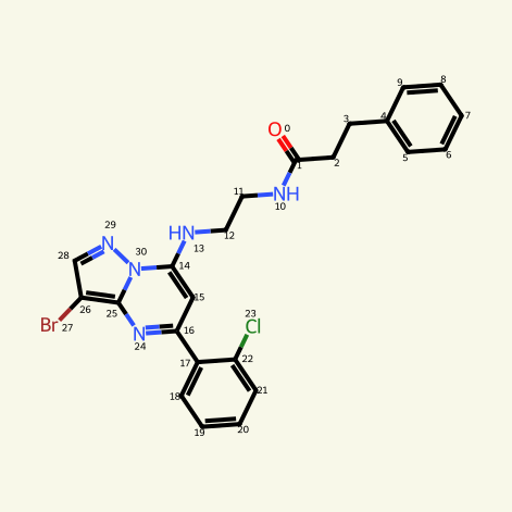 O=C(CCc1ccccc1)NCCNc1cc(-c2ccccc2Cl)nc2c(Br)cnn12